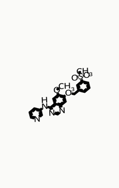 COc1cc2c(Nc3cccnc3)ncnc2cc1OCc1cccc(S(C)(=O)=O)c1